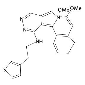 COC1=CC2=C(C=CCC2)C2=c3c(NCCc4ccsc4)nncc3=C[N+]12OC